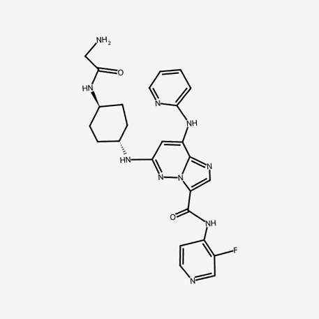 NCC(=O)N[C@H]1CC[C@H](Nc2cc(Nc3ccccn3)c3ncc(C(=O)Nc4ccncc4F)n3n2)CC1